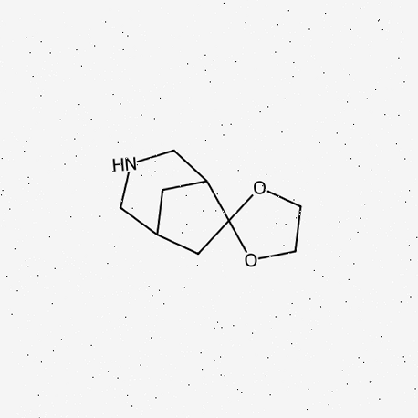 C1COC2(CC3CNCC2C3)O1